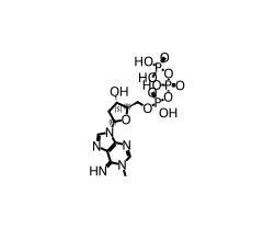 Cn1cnc2c(ncn2[C@H]2C[C@H](O)[C@@H](COP(=O)(O)OP(=O)(O)OP(=O)(O)O)O2)c1=N